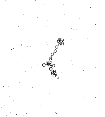 CC(C)(C)OC(=O)NCCOCCOCCOCCN1CCC(CNC(=O)c2cccc(-c3noc(C(F)(F)F)n3)c2)(c2nc(-c3ccccc3)cs2)CC1